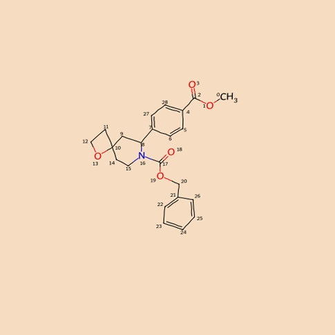 COC(=O)c1ccc(C2CC3(CCO3)CCN2C(=O)OCc2ccccc2)cc1